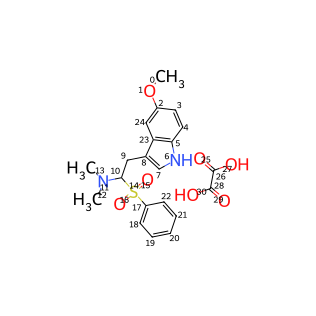 COc1ccc2[nH]cc(CC(N(C)C)S(=O)(=O)c3ccccc3)c2c1.O=C(O)C(=O)O